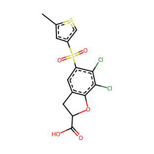 Cc1cc(S(=O)(=O)c2cc3c(c(Cl)c2Cl)OC(C(=O)O)C3)cs1